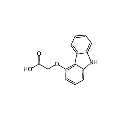 O=C(O)COc1cccc2[nH]c3ccccc3c12